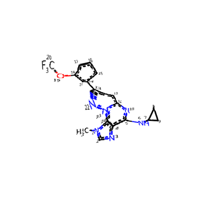 Cn1cnc2c(NC3CC3)nc3cc(-c4cccc(OC(F)(F)F)c4)nn3c21